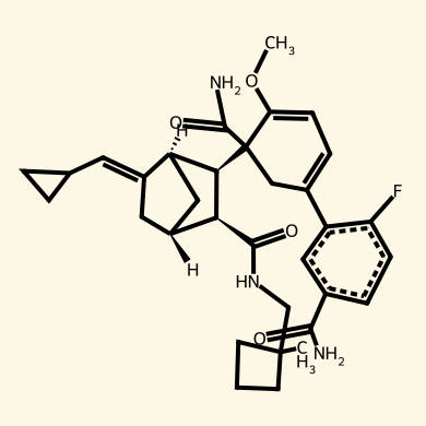 COC1=CC=C(c2cc(C(N)=O)ccc2F)CC1(C(N)=O)[C@H]1[C@@H](C(=O)NCC2(C)CCC2)[C@@H]2CC(=CC3CC3)[C@@H]1C2